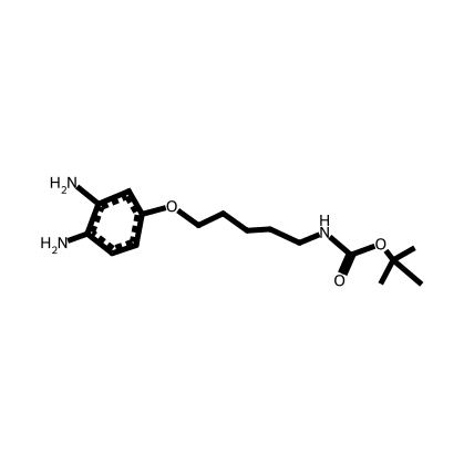 CC(C)(C)OC(=O)NCCCCCOc1ccc(N)c(N)c1